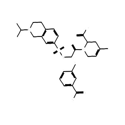 CC1=CCN(C(=O)[C@H](Cc2cccc(C(=N)N)c2)NS(=O)(=O)c2ccc3c(c2)CN(C(C)C)CC3)C(C(=O)O)C1